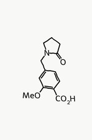 COc1cc(CN2CCCC2=O)ccc1C(=O)O